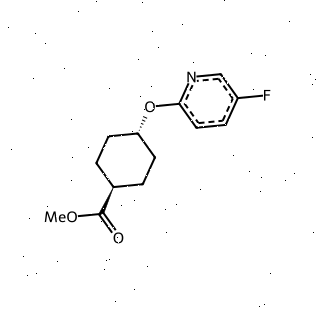 COC(=O)[C@H]1CC[C@H](Oc2ccc(F)cn2)CC1